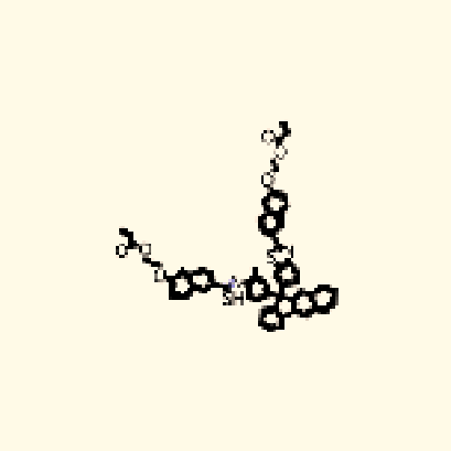 C=CC(=O)OCCOc1ccc2cc(/C(S)=N/c3ccc(C4(c5ccc6nc(-c7ccc8cc(OCCOC(=O)C=C)ccc8c7)sc6c5)c5ccccc5-c5cc6ccccc6cc54)cc3C)ccc2c1